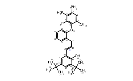 Bc1cc(P)c(P)c(F)c1Oc1ccccc1C/C=C/c1cc(C(C)(C)C)cc(C(C)(C)C)c1O